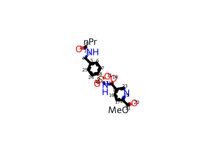 CCCC(=O)NCc1ccc(S(=O)(=O)NC(=O)c2ccc(C(=O)OC)nc2)cc1